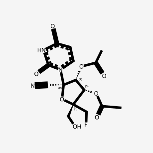 CC(=O)O[C@@H]1[C@H](OC(C)=O)[C@](CO)(CF)O[C@@]1(C#N)n1ccc(=O)[nH]c1=O